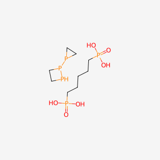 C1CP(P2CC2)P1.O=P(O)(O)CCCCCP(=O)(O)O